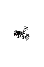 CC[C@]12C=CCN3CC[C@@]4(c5cc([C@@]6(C(=O)OC)C[C@H]7CC(C(C)(F)F)CN(CCc8c6[nH]c6ccc(C(=O)OC)cc86)C7)c(OC)cc5N(C)[C@H]4[C@@](O)(C(=O)OC)[C@@H]1OC(C)=O)[C@@H]32